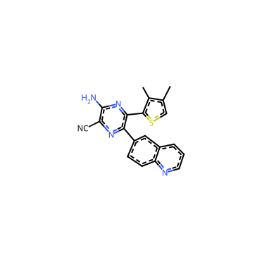 Cc1csc(-c2nc(N)c(C#N)nc2-c2ccc3ncccc3c2)c1C